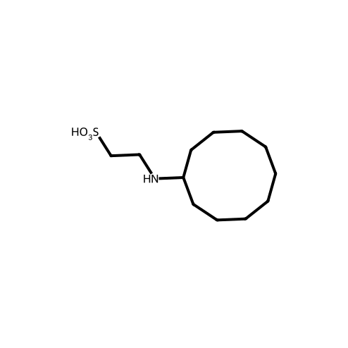 O=S(=O)(O)CCNC1CCCCCCCCC1